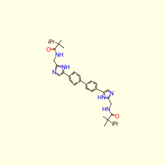 CC(C)C(C)(C)C(=O)NCc1ncc(-c2ccc(-c3ccc(-c4cnc(CNC(=O)C(C)(C)C(C)C)[nH]4)cc3)cc2)[nH]1